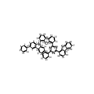 c1ccc(-c2ccc3c(c2)c2ccccc2n3-c2cccc3c2oc2c(-c4nc(-c5ccccc5)nc(-c5cccc6c5sc5ccccc56)n4)cccc23)cc1